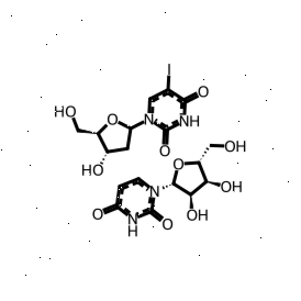 O=c1[nH]c(=O)n(C2C[C@H](O)[C@@H](CO)O2)cc1I.O=c1ccn([C@@H]2O[C@H](CO)[C@@H](O)[C@H]2O)c(=O)[nH]1